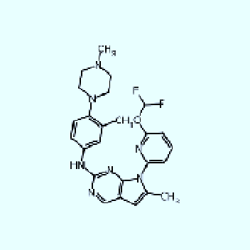 Cc1cc(Nc2ncc3cc(C)n(-c4cccc(OC(F)F)n4)c3n2)ccc1N1CCN(C)CC1